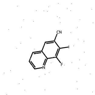 N#Cc1cc2cccnc2c(F)c1I